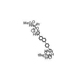 COC(=O)N[C@H](C(=O)N1CCC[C@H]1c1ncc(-c2ccc3cc(-c4ccc(-c5cnc([C@@H]6[C@H]7CC[C@H](C7)N6C(=O)OC(C)(C)C)[nH]5)cc4)ccc3c2)[nH]1)C(C)C